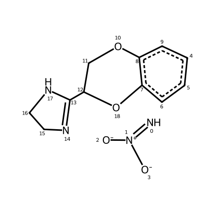 N=[N+]([O-])[O-].c1ccc2c(c1)OCC(C1=NCCN1)O2